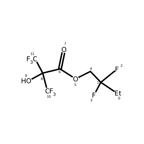 CCC(F)(F)COC(=O)C(O)(C(F)(F)F)C(F)(F)F